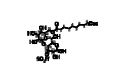 CCCCCCCCCCCCCCCCCC(=O)OC[C@H]1O[C@@H](O[C@H]2[C@H](OS(=O)(=O)O)[C@@H](O)[C@@H](O)O[C@@H]2CO)[C@H](O)[C@@H](O)[C@H]1O